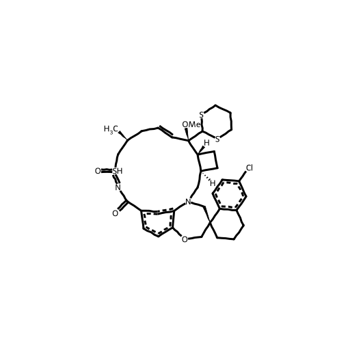 CO[C@]1(C2SCCCS2)/C=C/C[C@H](C)C/[SH](=O)=N\C(=O)c2ccc3c(c2)N(C[C@@H]2CC[C@H]21)C[C@@]1(CCCc2cc(Cl)ccc21)CO3